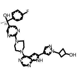 C[C@](O)(c1ccc(F)cc1)c1cnc(N2CCN(c3ncnc4[nH]c(-c5cnn(C6CC(O)C6)c5)cc34)CC2)nc1